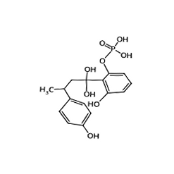 CC(CC(O)(O)c1c(O)cccc1OP(=O)(O)O)c1ccc(O)cc1